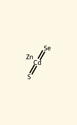 [S]=[Cd]=[Se].[Zn]